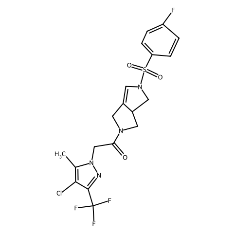 Cc1c(Cl)c(C(F)(F)F)nn1CC(=O)N1CC2=CN(S(=O)(=O)c3ccc(F)cc3)CC2C1